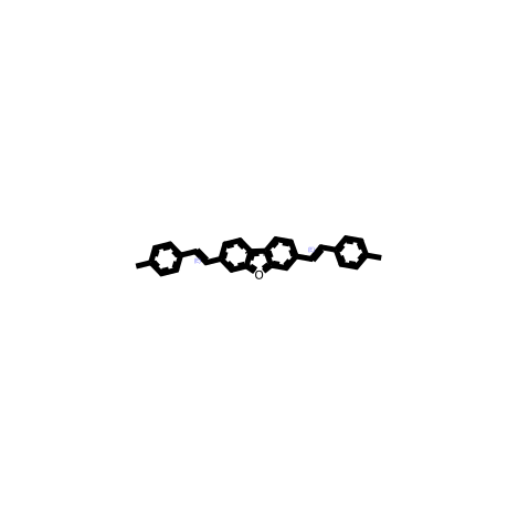 Cc1ccc(/C=C/c2ccc3c(c2)oc2cc(/C=C/c4ccc(C)cc4)ccc23)cc1